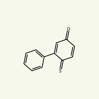 O=C1C=CC(=S)C(c2ccccc2)=C1